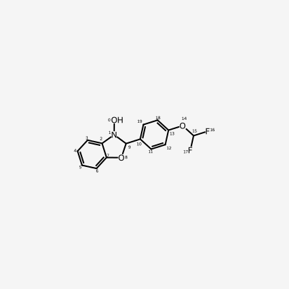 ON1c2ccccc2OC1c1ccc(OC(F)F)cc1